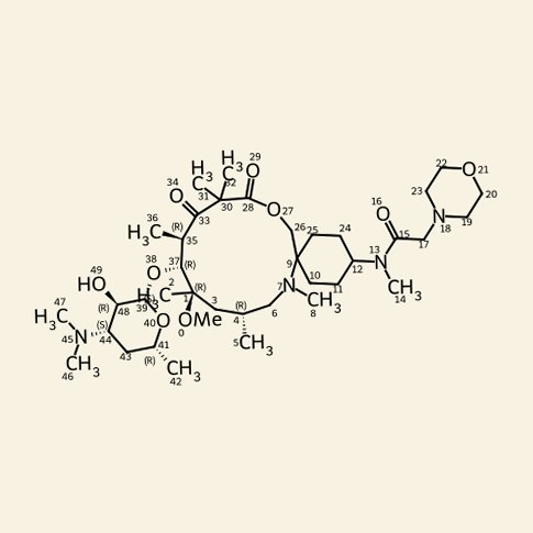 CO[C@]1(C)C[C@@H](C)CN(C)C2(CCC(N(C)C(=O)CN3CCOCC3)CC2)COC(=O)C(C)(C)C(=O)[C@H](C)[C@H]1O[C@@H]1O[C@H](C)C[C@H](N(C)C)[C@H]1O